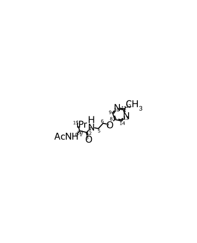 CC(=O)N[C@H](C(=O)NCCOc1cnc(C)nc1)C(C)C